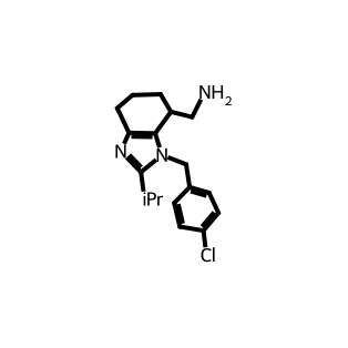 CC(C)c1nc2c(n1Cc1ccc(Cl)cc1)C(CN)CCC2